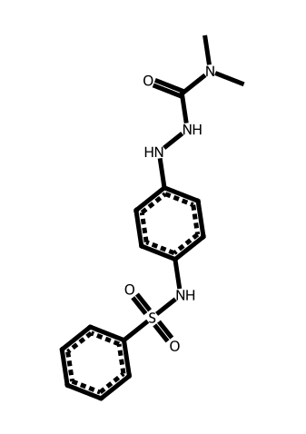 CN(C)C(=O)NNc1ccc(NS(=O)(=O)c2ccccc2)cc1